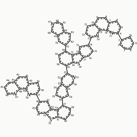 c1ccc(-c2ccc3ccc4ccc(-c5ccc6sc7c(-c8cc9ccc(-c%10cccc%11sc%12ccc(-c%13ccc%14ccc%15cccnc%15c%14n%13)cc%12c%10%11)cc9cn8)ccc(-c8ccc9ccncc9c8)c7c6c5)nc4c3n2)cc1